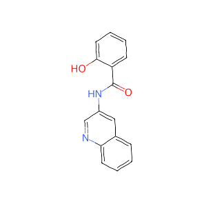 O=C(Nc1cnc2ccccc2c1)c1ccccc1O